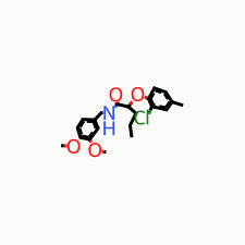 CCCC(Oc1ccc(C)cc1Cl)C(=O)NCc1ccc(OC)c(OC)c1